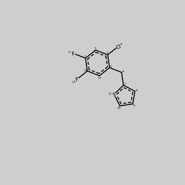 Fc1cc(Cl)c(Cc2cccs2)cc1F